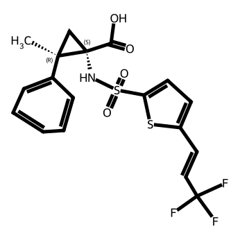 C[C@]1(c2ccccc2)C[C@@]1(NS(=O)(=O)c1ccc(C=CC(F)(F)F)s1)C(=O)O